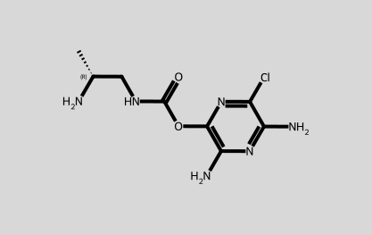 C[C@@H](N)CNC(=O)Oc1nc(Cl)c(N)nc1N